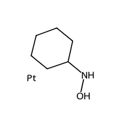 ONC1CCCCC1.[Pt]